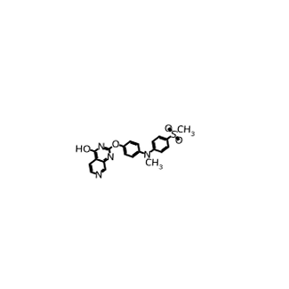 CN(c1ccc(Oc2nc(O)c3ccncc3n2)cc1)c1ccc(S(C)(=O)=O)cc1